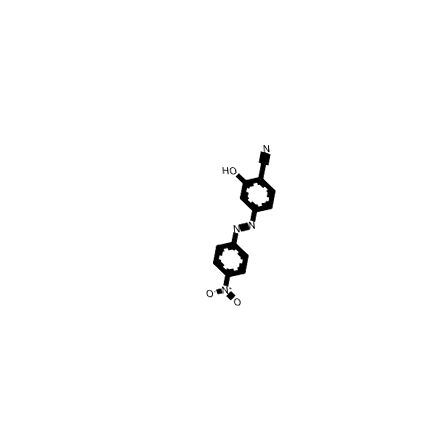 N#Cc1ccc(/N=N/c2ccc([N+](=O)[O-])cc2)cc1O